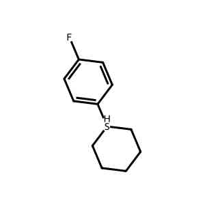 Fc1ccc([SH]2CCCCC2)cc1